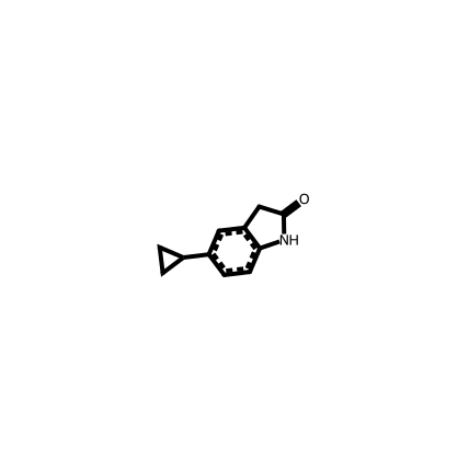 O=C1Cc2cc(C3CC3)ccc2N1